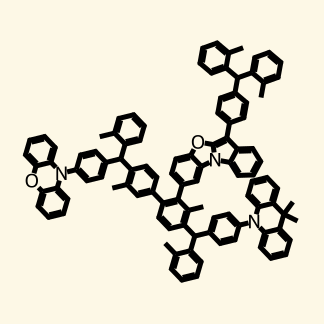 Cc1ccccc1C(c1ccc(-c2c3ccccc3n3c2oc2ccc(-c4c(-c5ccc(C(c6ccc(N7c8ccccc8Oc8ccccc87)cc6)c6ccccc6C)c(C)c5)ccc(C(c5ccc(N6c7ccccc7C(C)(C)c7ccccc76)cc5)c5ccccc5C)c4C)cc23)cc1)c1ccccc1C